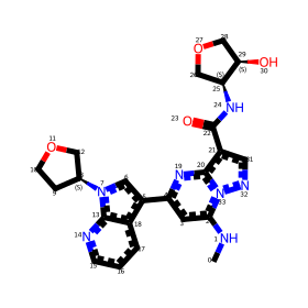 CNc1cc(-c2cn([C@H]3CCOC3)c3ncccc23)nc2c(C(=O)N[C@H]3COC[C@H]3O)cnn12